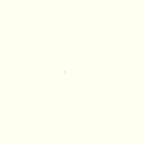 c1ccc(-c2cc3ccccc3c3c2oc2c(-c4ccc(N(c5ccccc5)c5cccc6c5oc5c(-c7ccccc7)cc7ccccc7c56)cc4)cccc23)cc1